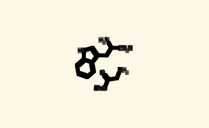 COC(=O)CN.NC(Cc1c[nH]c2ccccc12)C(=O)O